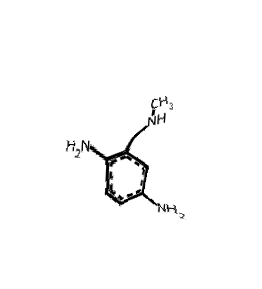 CNCc1cc(N)ccc1N